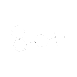 CC(C)(O)C1CCN(c2cccc3c2CCN=C3)CC1